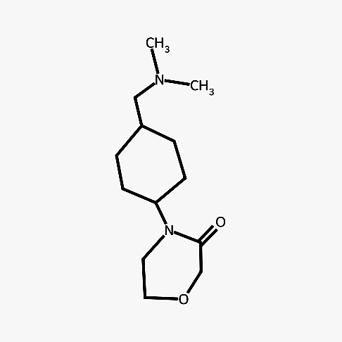 CN(C)CC1CCC(N2CCOCC2=O)CC1